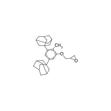 Cc1c(OCC2CO2)cc(C23CC4CC(CC(C4)C2)C3)cc1C12CC3CC(CC(C3)C1)C2